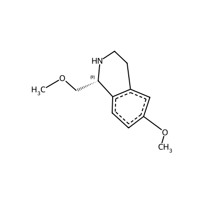 COC[C@@H]1NCCc2cc(OC)ccc21